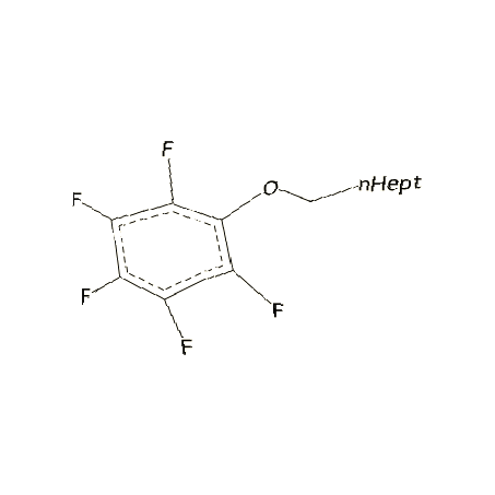 CCCCCCCCOc1c(F)c(F)c(F)c(F)c1F